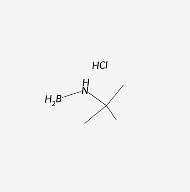 BNC(C)(C)C.Cl